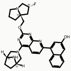 Oc1cc(-c2ccc3c(N4C[C@H]5CC[C@@H](C4)N5)nc(OC[C@@]45CCCN4C[C@H](F)C5)nc3n2)c2ccccc2c1